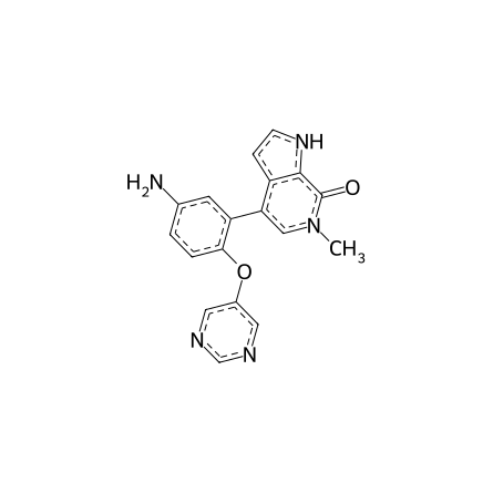 Cn1cc(-c2cc(N)ccc2Oc2cncnc2)c2cc[nH]c2c1=O